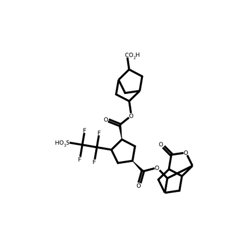 O=C(O)C1CC2CC1CC2OC(=O)[C@H]1C[C@@H](C(=O)OC2C3CC4C(=O)OC2C4C3)CC1C(F)(F)C(F)(F)S(=O)(=O)O